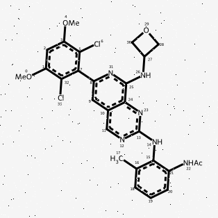 COc1cc(OC)c(Cl)c(-c2cc3cnc(Nc4c(C)cccc4NC(C)=O)nc3c(NC3COC3)n2)c1Cl